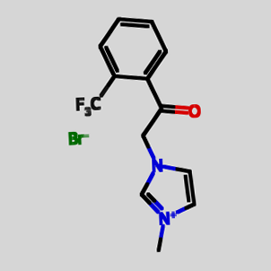 C[n+]1ccn(CC(=O)c2ccccc2C(F)(F)F)c1.[Br-]